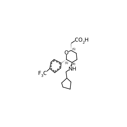 O=C(O)C[C@@H]1CC[C@@H](NCC2CCCC2)[C@H](c2ccc(C(F)(F)F)cc2)O1